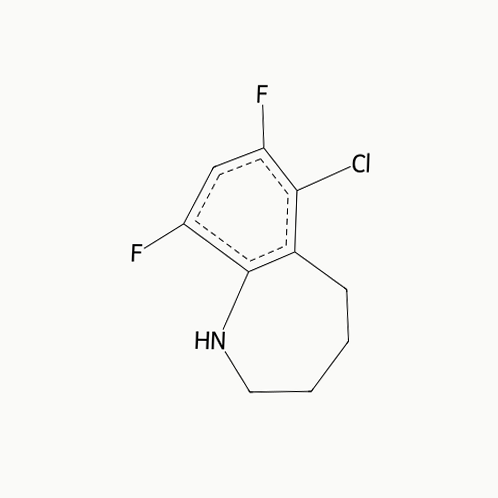 Fc1cc(F)c2c(c1Cl)CCCCN2